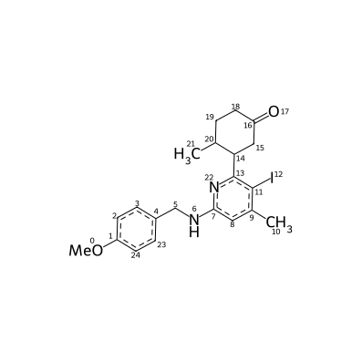 COc1ccc(CNc2cc(C)c(I)c(C3CC(=O)CCC3C)n2)cc1